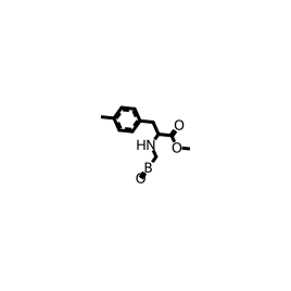 COC(=O)C(Cc1ccc(C)cc1)NCB=O